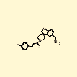 NCc1ccc2c(c1)C1(CCN(C(=O)/C=C/c3ccc(F)cc3)CC1)CO2